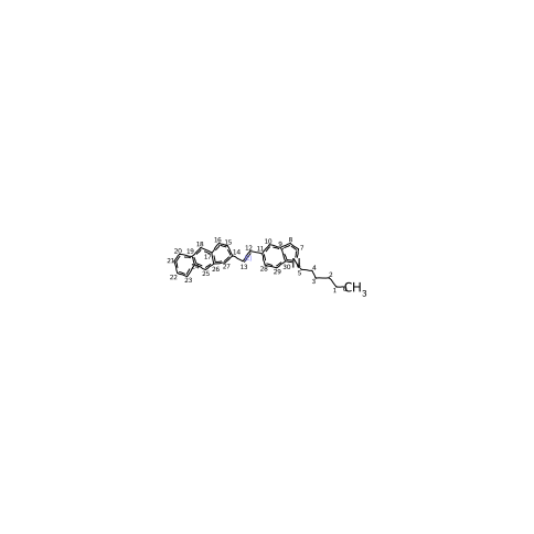 CCCCCCn1ccc2cc(/C=C/c3ccc4cc5ccccc5cc4c3)ccc21